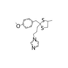 COc1ccc(CC2(CCCn3ccnc3)SCC(C)S2)cc1